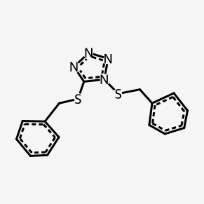 c1ccc(CSc2nnnn2SCc2ccccc2)cc1